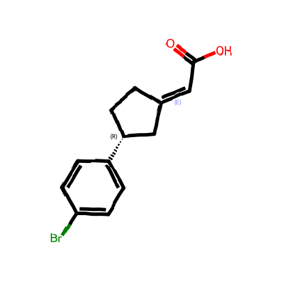 O=C(O)/C=C1\CC[C@@H](c2ccc(Br)cc2)C1